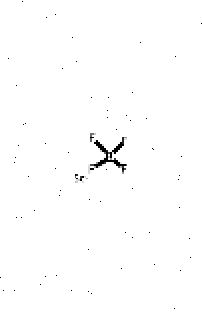 F[B-](F)(F)F.[Sc]